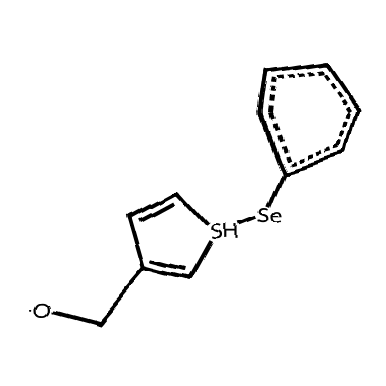 [O]CC1=C[SH]([Se]c2ccccc2)C=C1